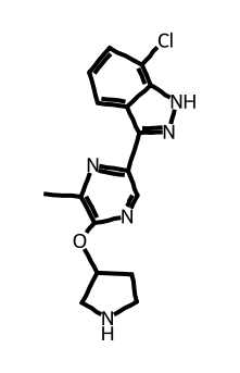 Cc1nc(-c2n[nH]c3c(Cl)cccc23)cnc1OC1CCNC1